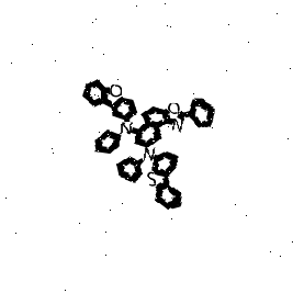 c1ccc(-c2nc3c(ccc4c(N(c5ccccc5)c5ccc6oc7ccccc7c6c5)cc(N(c5ccccc5)c5cccc6c5sc5ccccc56)cc43)o2)cc1